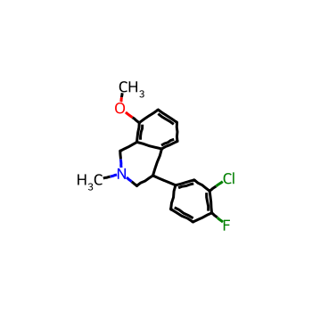 COc1cccc2c1CN(C)CC2c1ccc(F)c(Cl)c1